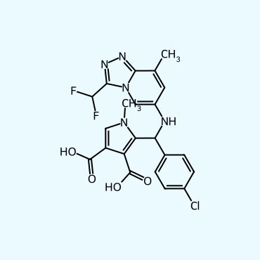 Cc1cc(NC(c2ccc(Cl)cc2)c2c(C(=O)O)c(C(=O)O)cn2C)cn2c(C(F)F)nnc12